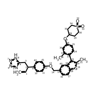 C=CC(Cc1nnn[nH]1)c1ccc(OCc2ccc3sc(C)c(-c4ccc(OC5CCS(=O)(=O)CC5)cc4C)c3c2)cc1